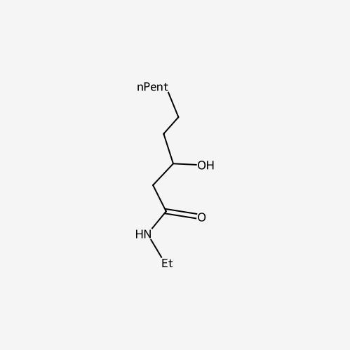 CCCCCCCC(O)CC(=O)NCC